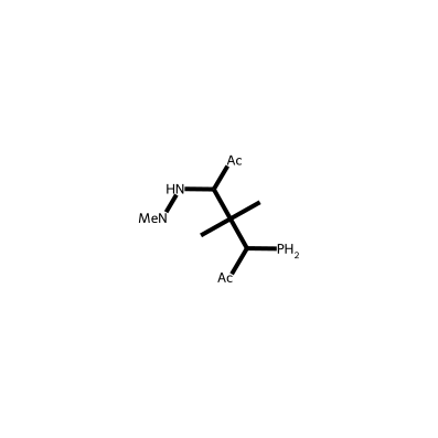 CNNC(C(C)=O)C(C)(C)C(P)C(C)=O